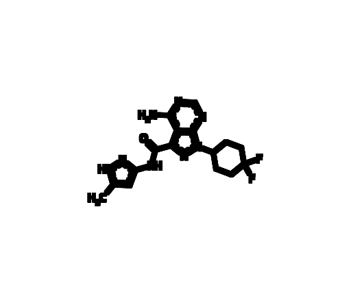 Cc1cc(NC(=O)c2nn(C3CCC(F)(F)CC3)c3ncnc(N)c23)n[nH]1